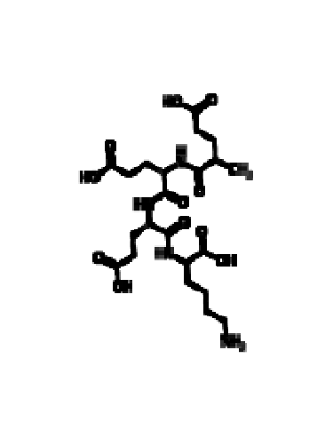 C[C@H](CCC(=O)O)C(=O)N[C@H](CCC(=O)O)C(=O)N[C@H](CCC(=O)O)C(=O)N[C@H](CCCCN)C(=O)O